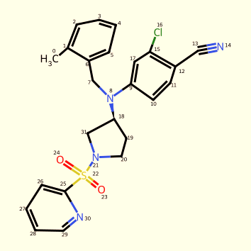 Cc1ccccc1CN(c1ccc(C#N)c(Cl)c1)[C@H]1CCN(S(=O)(=O)c2ccccn2)C1